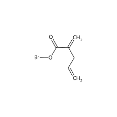 C=CCC(=C)C(=O)OBr